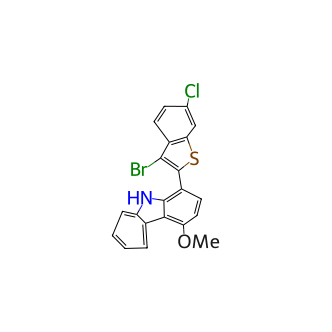 COc1ccc(-c2sc3cc(Cl)ccc3c2Br)c2[nH]c3ccccc3c12